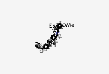 CCn1c(C)c(/C=C2\Oc3ccc(NC(=O)Nc4ccc(C(=O)N5CCOCC5)cc4)cc3C2=O)c2cc(OC)ccc21